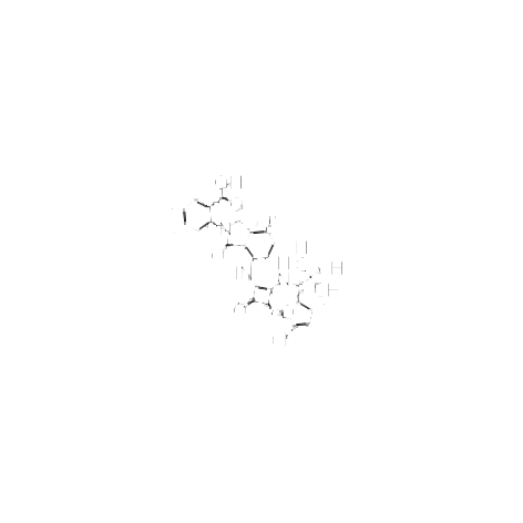 CC(C)(C)[C@@H](Nc1c(Nc2ccc(F)c3c2C(=O)N(c2ccccc2C(=O)O)C3)c(=O)c1=O)c1ccc(Cl)o1